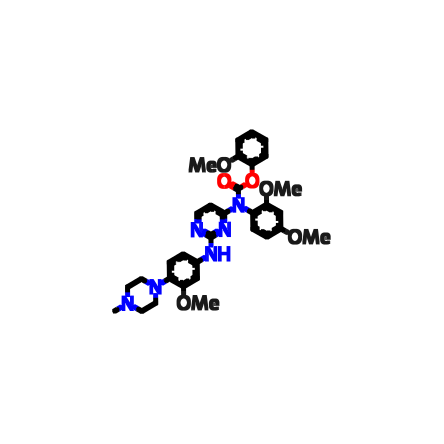 COc1ccc(N(C(=O)Oc2ccccc2OC)c2ccnc(Nc3ccc(N4CCN(C)CC4)c(OC)c3)n2)c(OC)c1